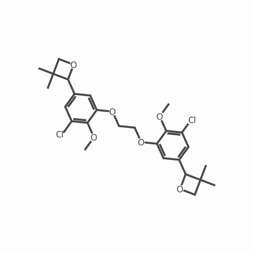 COc1c(Cl)cc(C2OCC2(C)C)cc1OCCOc1cc(C2OCC2(C)C)cc(Cl)c1OC